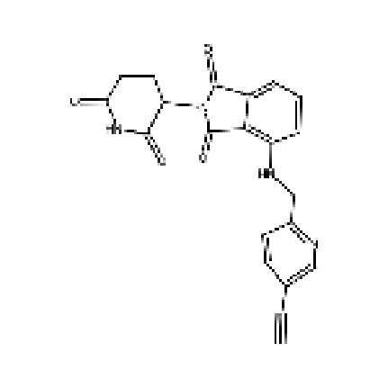 C#Cc1ccc(CNc2cccc3c2C(=O)N(C2CCC(=O)NC2=O)C3=O)nc1